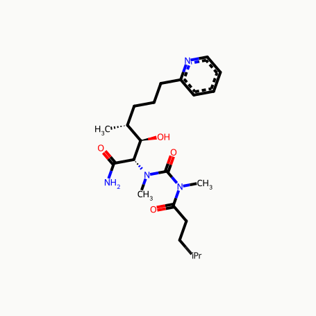 CC(C)CCC(=O)N(C)C(=O)N(C)[C@H](C(N)=O)[C@H](O)[C@H](C)CCCc1ccccn1